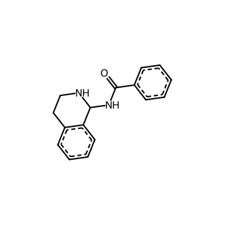 O=C(NC1NCCc2ccccc21)c1ccccc1